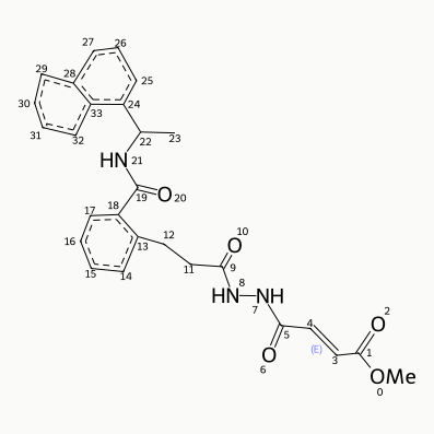 COC(=O)/C=C/C(=O)NNC(=O)CCc1ccccc1C(=O)NC(C)c1cccc2ccccc12